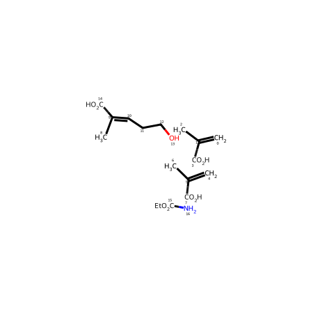 C=C(C)C(=O)O.C=C(C)C(=O)O.CC(=CCCO)C(=O)O.CCOC(N)=O